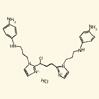 Cl.Nc1ccc(NCCCN2C=C[N+]=C2CCC(Cl)C2=[N+]C=CN2CCCNc2ccc(N)cc2)cc1